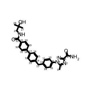 Cc1nc(C(N)=O)nn1-c1ccc(Cc2ccc(-c3ccc(C(=O)NCC(C)(C)O)cc3)cc2)cc1